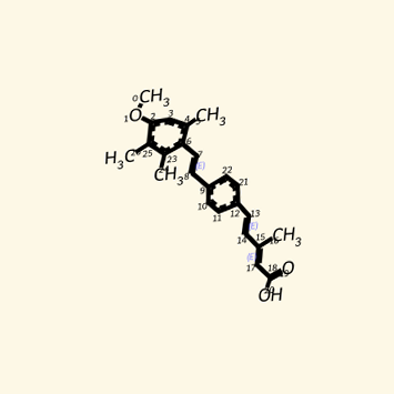 COc1cc(C)c(/C=C/c2ccc(/C=C/C(C)=C/C(=O)O)cc2)c(C)c1C